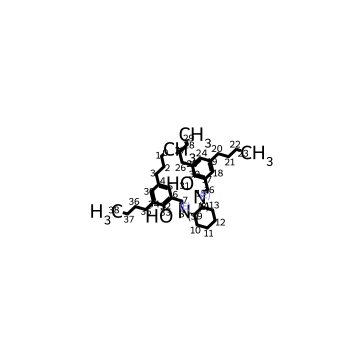 CCCCc1cc(/C=N/[C@H]2CCCC[C@@H]2/N=C/c2cc(CCCC)cc(CCCC)c2O)c(O)c(CCCC)c1